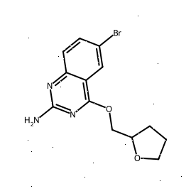 Nc1nc(OCC2CCCO2)c2cc(Br)ccc2n1